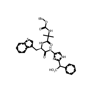 CC(C)(C)OC(=O)NC(C)(C)C(=O)N[C@H](Cc1csc2ccccc12)C(=O)Nc1c[nH]c(C(C(=O)O)c2ccccc2)n1